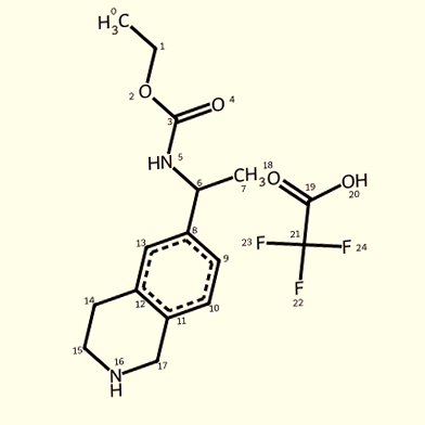 CCOC(=O)NC(C)c1ccc2c(c1)CCNC2.O=C(O)C(F)(F)F